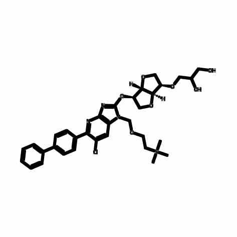 C[Si](C)(C)CCOCn1c(O[C@@H]2CO[C@H]3[C@H]2OC[C@H]3OCC(O)CO)nc2nc(-c3ccc(-c4ccccc4)cc3)c(Cl)cc21